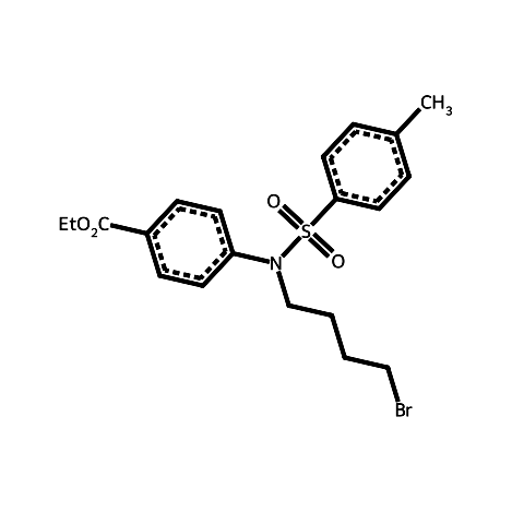 CCOC(=O)c1ccc(N(CCCCBr)S(=O)(=O)c2ccc(C)cc2)cc1